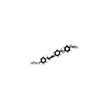 CCCCC[C@H]1CC[C@H](C=CC#C[C@H]2CC[C@H](COc3ccc(OCCCC)cc3)CC2)CC1